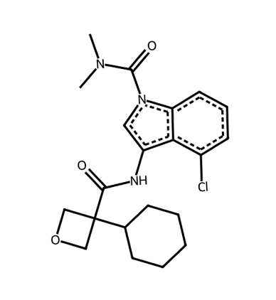 CN(C)C(=O)n1cc(NC(=O)C2(C3CCCCC3)COC2)c2c(Cl)cccc21